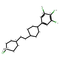 Fc1cc(C2CCC(CCC3CC[SiH](Cl)CC3)CC2)cc(F)c1F